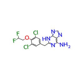 Nc1nc(Cc2cc(Cl)c(OCC(F)F)c(Cl)c2)[nH]c2ncnc1-2